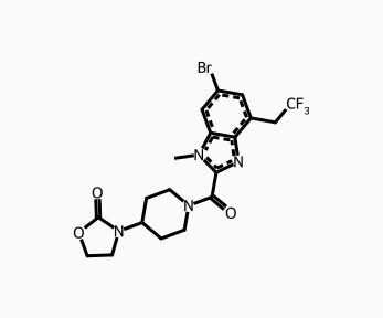 Cn1c(C(=O)N2CCC(N3CCOC3=O)CC2)nc2c(CC(F)(F)F)cc(Br)cc21